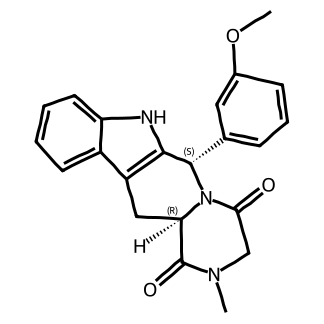 COc1cccc([C@H]2c3[nH]c4ccccc4c3C[C@@H]3C(=O)N(C)CC(=O)N23)c1